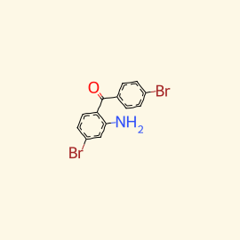 Nc1cc(Br)ccc1C(=O)c1ccc(Br)cc1